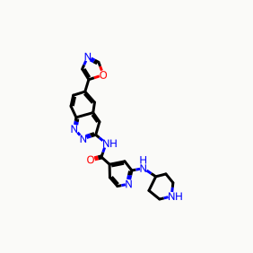 O=C(Nc1cc2cc(-c3cnco3)ccc2nn1)c1ccnc(NC2CCNCC2)c1